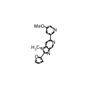 COc1cncc(-c2cc3c(cn2)nc(-c2ccco2)n3C)c1